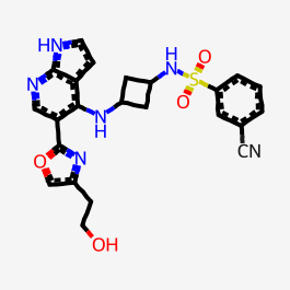 N#Cc1cccc(S(=O)(=O)NC2CC(Nc3c(-c4nc(CCO)co4)cnc4[nH]ccc34)C2)c1